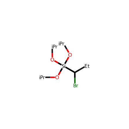 CCC(Br)[Si](OC(C)C)(OC(C)C)OC(C)C